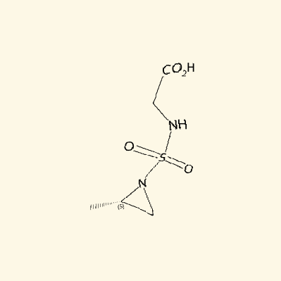 C[C@H]1CN1S(=O)(=O)NCC(=O)O